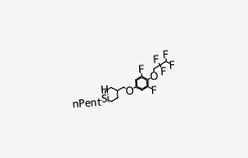 CCCCC[SiH]1CCC(COc2cc(F)c(OCC(F)(F)C(F)F)c(F)c2)CC1